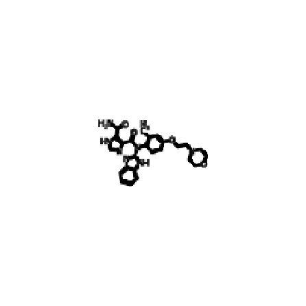 Cc1cc(OCCN2CCOCC2)ccc1N(C(=O)c1nc[nH]c1C(N)=O)c1nc2ccccc2[nH]1